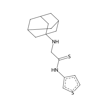 S=C(CNC12CC3CC(CC(C3)C1)C2)Nc1ccsc1